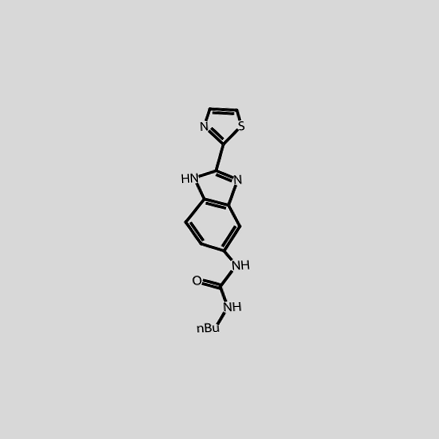 CCCCNC(=O)Nc1ccc2[nH]c(-c3nccs3)nc2c1